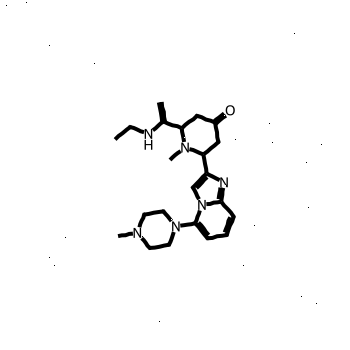 C=C(NCC)C1CC(=O)CC(c2cn3c(N4CCN(C)CC4)cccc3n2)N1C